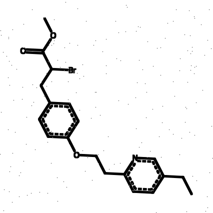 CCc1ccc(CCOc2ccc(CC(Br)C(=O)OC)cc2)nc1